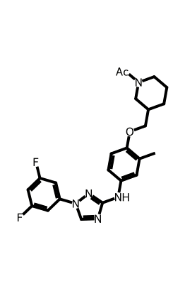 CC(=O)N1CCCC(COc2ccc(Nc3ncn(-c4cc(F)cc(F)c4)n3)cc2C)C1